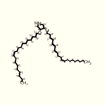 CCCCCCCC/C=C\CCCCCCCCCCO[C@@H]1CNC[C@H]1OCCCCCCCCCC/C=C\CCCCCCCC